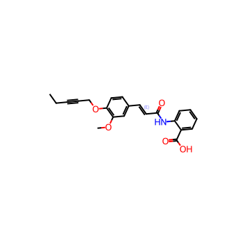 CCC#CCOc1ccc(/C=C/C(=O)Nc2ccccc2C(=O)O)cc1OC